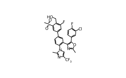 Cc1nc(-c2cc(-c3cc(F)c(CO)c(S(C)(=O)=O)c3)ccc2-n2cc(C(F)(F)F)nc2C)c(-c2ccc(F)c(Cl)c2)o1